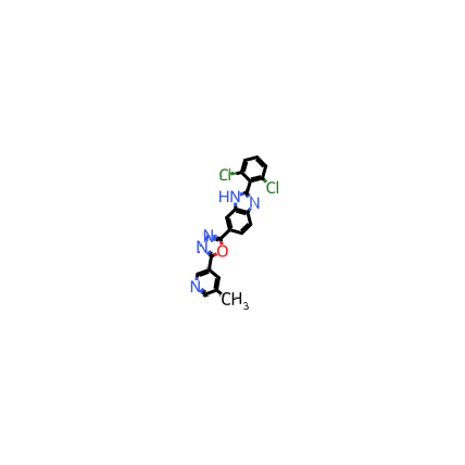 Cc1cncc(-c2nnc(-c3ccc4nc(-c5c(Cl)cccc5Cl)[nH]c4c3)o2)c1